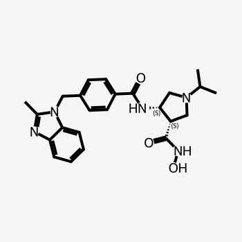 Cc1nc2ccccc2n1Cc1ccc(C(=O)N[C@@H]2CN(C(C)C)C[C@@H]2C(=O)NO)cc1